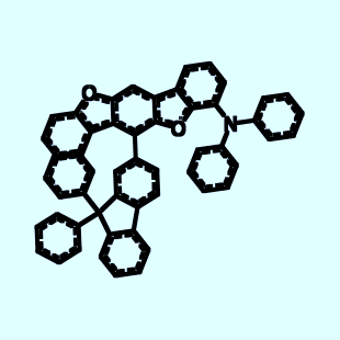 c1ccc(N(c2ccccc2)c2cccc3c2oc2c(-c4ccc5c(c4)C(c4ccccc4)(c4ccccc4)c4ccccc4-5)c4c(cc23)oc2ccccc24)cc1